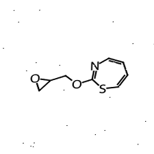 C1=CN=C(OCC2CO2)SC=C1